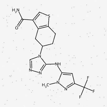 Cn1nc(C(F)(F)F)cc1Nc1nncn1C1CCc2scc(C(N)=O)c2C1